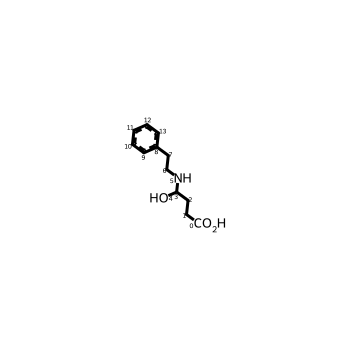 O=C(O)CCC(O)NCCc1ccccc1